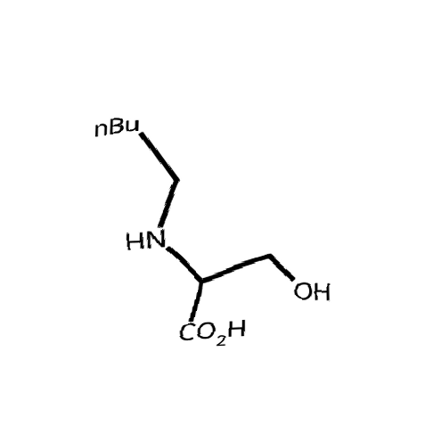 CCCCCNC(CO)C(=O)O